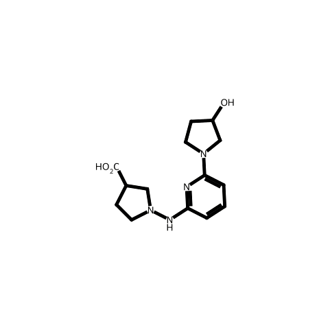 O=C(O)C1CCN(Nc2cccc(N3CCC(O)C3)n2)C1